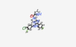 O=C([C@H]1CCCN1)N1CCn2c(nc(-c3ccc(F)cc3)c2Nc2ccc(Cl)c(F)c2)C1